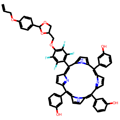 C=CCOc1ccc(C2OCC(COc3c(F)c(F)c(-c4c5nc(c(-c6cccc(O)c6)c6ccc([nH]6)c(-c6cccc(O)c6)c6nc(c(-c7cccc(O)c7)c7ccc4[nH]7)C=C6)C=C5)c(F)c3F)O2)cc1